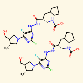 C[C@H]1CN(c2nc(Cl)nc(NNC(=O)[C@@H](CNC(=O)O)CC3CCCC3)c2F)C[C@@H]1CO.C[C@H]1CN(c2nc(Cl)nc(NNC(=O)[C@@H](CNC(=O)O)CC3CCCC3)c2F)C[C@@H]1CO